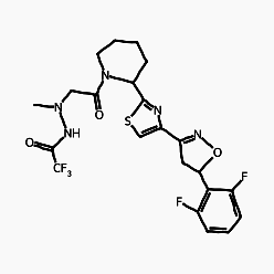 CN(CC(=O)N1CCCCC1c1nc(C2=NOC(c3c(F)cccc3F)C2)cs1)NC(=O)C(F)(F)F